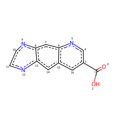 O=C(O)c1cnc2cc3nccnc3cc2c1